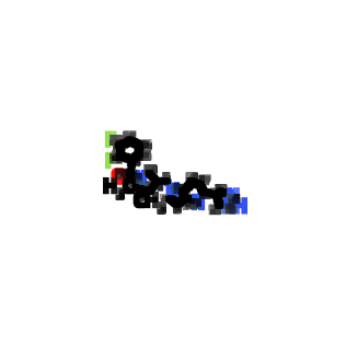 CC1(C)CC(Cn2ccc3nc(-c4cn[nH]c4)ccc32)CN1C(=O)c1cccc(F)c1F